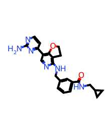 Nc1nccc(-c2cnc(NCc3cccc(C(=O)NCC4CC4)c3)c3c2OCC3)n1